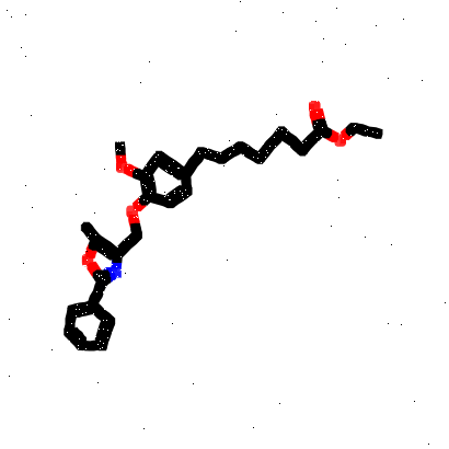 CCOC(=O)CCCCCCc1ccc(OCc2nc(-c3ccccc3)oc2C)c(OC)c1